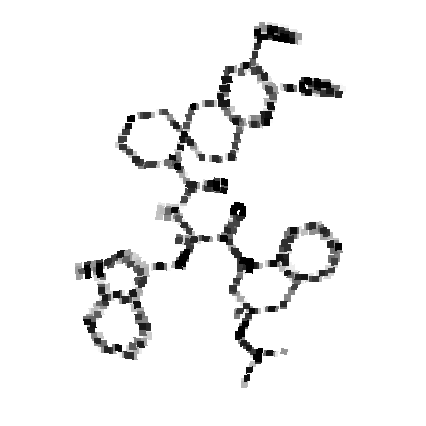 COc1cc2c(cc1OC)CC1(CCCCN1C(=O)N[C@H](Cc1c[nH]c3ccccc13)C(=O)N1C[C@H](CN(C)C)Cc3ccccc31)CC2